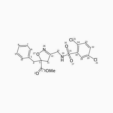 COC(=O)C1(Cc2ccccc2)CC(CNS(=O)(=O)c2cc(Cl)ccc2Cl)=NO1